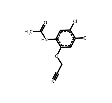 CC(=O)Nc1cc(Cl)c(Cl)cc1OCC#N